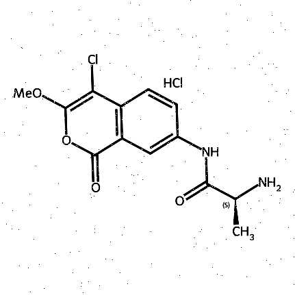 COc1oc(=O)c2cc(NC(=O)[C@H](C)N)ccc2c1Cl.Cl